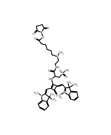 CN(CCCCCC(=O)ON1C(=O)CCC1=O)CCNC(=O)C(CS(=O)(=O)O)NC1=C(/C=C2/N(C)c3ccccc3C2(C)C)C(=O)/C1=C\C1=[N+](C)c2ccccc2C1(C)C